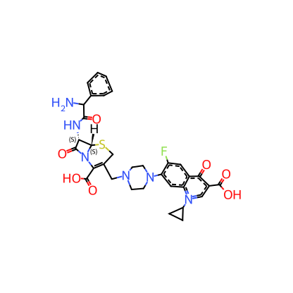 NC(C(=O)N[C@H]1C(=O)N2C(C(=O)O)=C(CN3CCN(c4cc5c(cc4F)c(=O)c(C(=O)O)cn5C4CC4)CC3)CS[C@@H]12)c1ccccc1